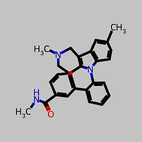 CNC(=O)c1cccc(-c2ccccc2-n2c3c(c4cc(C)ccc42)CN(C)CC3)c1